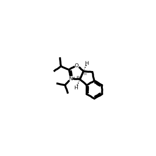 CC(C)C1=[N+](C(C)C)[C@@H]2c3ccccc3C[C@@H]2O1